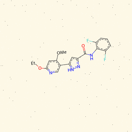 CCOc1cc(OC)c(-c2cc(C(=O)Nc3c(F)cccc3F)n[nH]2)cn1